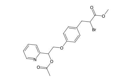 COC(=O)C(Br)Cc1ccc(OCC(OC(C)=O)c2ccccn2)cc1